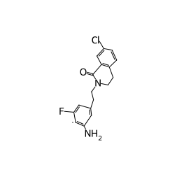 Nc1[c]c(F)cc(CCN2CCc3ccc(Cl)cc3C2=O)c1